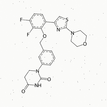 O=C1CCN(c2cccc(COc3c(-c4csc(N5CCOCC5)n4)ccc(F)c3F)c2)C(=O)N1